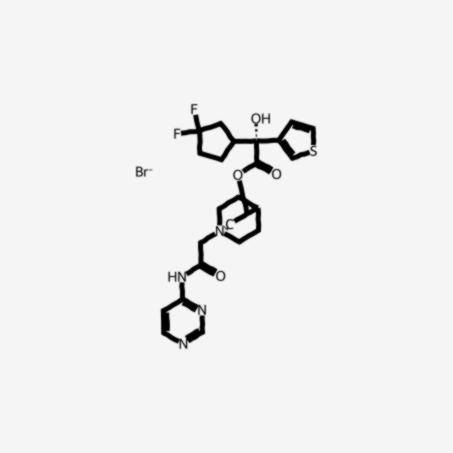 O=C(C[N+]12CCC(CC1)C(OC(=O)[C@](O)(c1ccsc1)C1CCC(F)(F)C1)C2)Nc1ccncn1.[Br-]